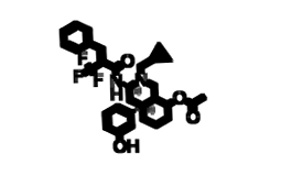 CC(=O)OC1CCC[C@@]2(c3cccc(O)c3)C[C@@H](NC(=O)C(=Cc3ccccc3)C(F)(F)F)N(CC3CC3)CC12